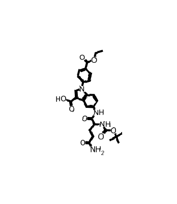 CCOC(=O)c1ccc(-n2cc(C(=O)O)c3cc(NC(=O)C(CCC(N)=O)NC(=O)OC(C)(C)C)ccc32)cc1